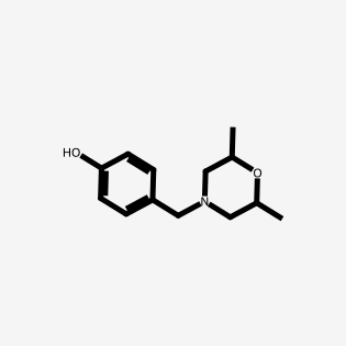 CC1CN(Cc2ccc(O)cc2)CC(C)O1